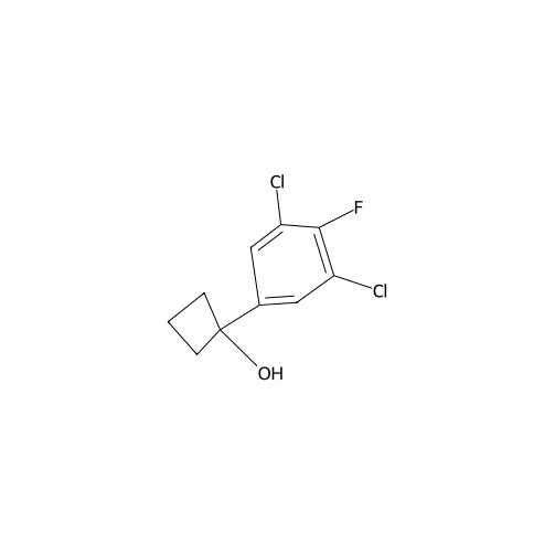 OC1(c2cc(Cl)c(F)c(Cl)c2)CCC1